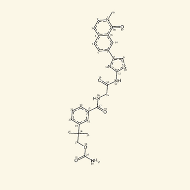 Cn1ccc2ccc(-c3csc(NC(=O)CNC(=O)c4cccc(C(C)(C)COC(N)=O)c4)n3)cc2c1=O